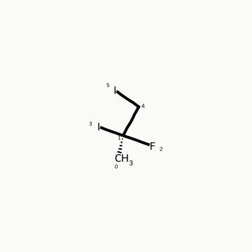 C[C@](F)(I)CI